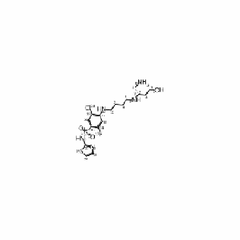 NC[C@H](CCO)NCCCCNc1cc(F)c(S(=O)(=O)Nc2nccs2)cc1Cl